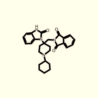 O=C1c2ccccc2C(=O)N1CC1(n2c(=O)[nH]c3ccccc32)CCN(C2CCCCC2)CC1